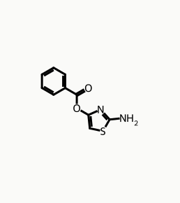 Nc1nc(OC(=O)c2ccccc2)cs1